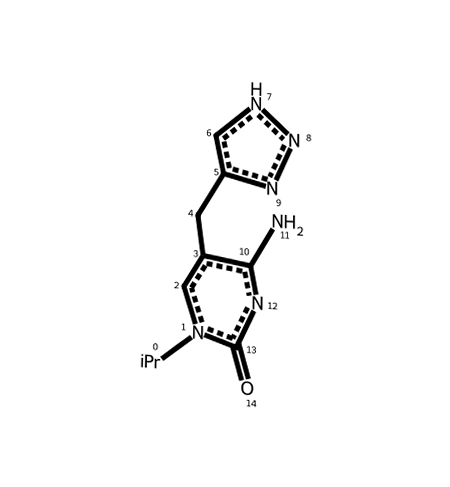 CC(C)n1cc(Cc2c[nH]nn2)c(N)nc1=O